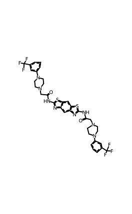 O=C(CN1CCN(c2cccc(C(F)(F)F)c2)CC1)Nc1nc2cc3nc(NC(=O)CN4CCN(c5cccc(C(F)(F)F)c5)CC4)sc3cc2s1